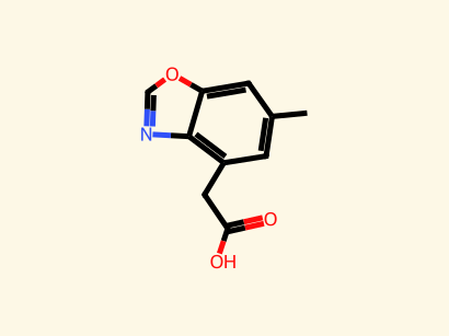 Cc1cc(CC(=O)O)c2ncoc2c1